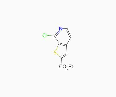 CCOC(=O)c1cc2ccnc(Cl)c2s1